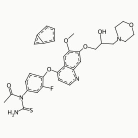 COc1cc2c(Oc3ccc(N(C(C)=O)C(N)=S)cc3F)ccnc2cc1OCC(O)CN1CCOCC1.c1cc2cc-2c1